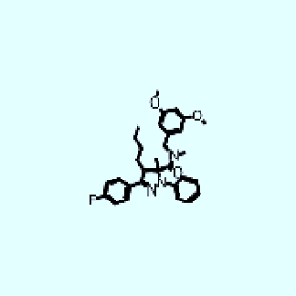 CCCCC1C(c2ccc(F)cc2)=NN(c2ccccc2)C1(C)C(=O)N(C)Cc1cc(OC)cc(OC)c1